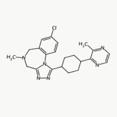 Cc1nccnc1C1CCC(c2nnc3n2-c2ccc(Cl)cc2CN(C)C3)CC1